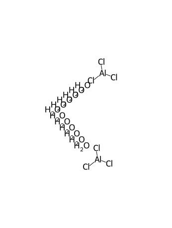 O.O.O.O.O.O.O.O.O.O.O.O.[Cl][Al]([Cl])[Cl].[Cl][Al]([Cl])[Cl]